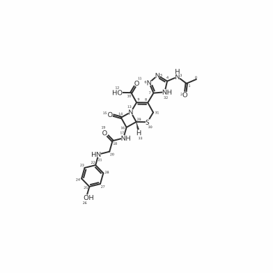 CC(=O)Nc1nnc(C2=C(C(=O)O)N3C(=O)C(NC(=O)CNc4ccc(O)cc4)[C@H]3SC2)[nH]1